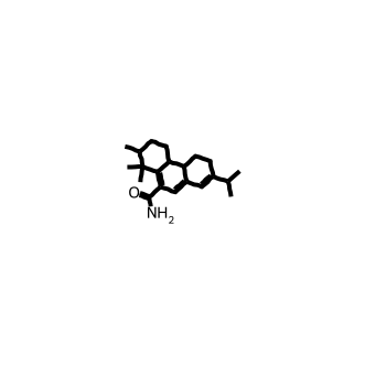 CC(C)C1=CC2=CC(C(N)=O)=C3C(CCC(C)C3(C)C)C2CC1